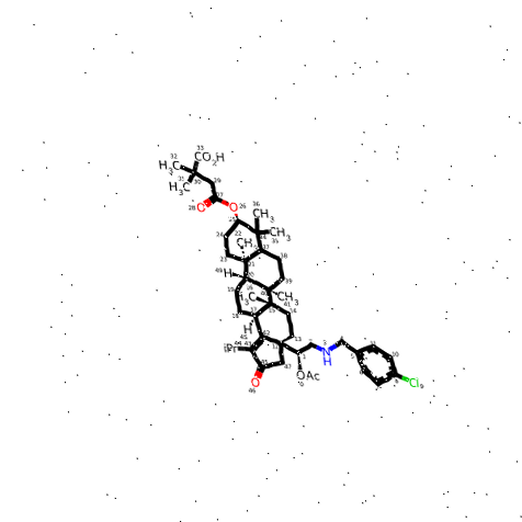 CC(=O)O[C@H](CNCc1ccc(Cl)cc1)[C@@]12CC[C@]3(C)[C@H](CC[C@@H]4[C@@]5(C)CC[C@H](OC(=O)CC(C)(C)C(=O)O)C(C)(C)C5CC[C@]43C)C1=C(C(C)C)C(=O)C2